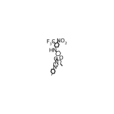 C=CCC(OC1CCC(Nc2ccc([N+](=O)[O-])c(C(F)(F)F)c2)CC1)C(=O)N1CCN(c2ccc(C)cc2)CC1